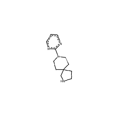 c1cnc(N2CCC3(CCNC3)CC2)nc1